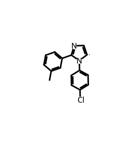 Cc1cccc(-c2nc[c]n2-c2ccc(Cl)cc2)c1